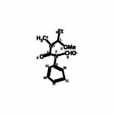 CCC(OC)N(C)C(=O)N([C]=O)c1ccccc1